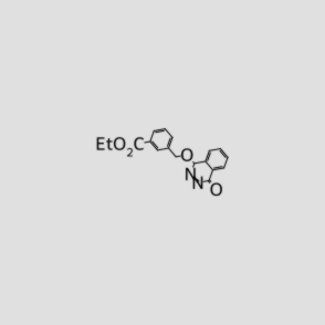 CCOC(=O)c1cccc(COC2N=NC(=O)c3ccccc32)c1